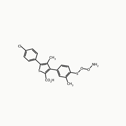 Cc1cc(-c2c(C(=O)O)sc(-c3ccc(Cl)cc3)c2C)ccc1SOON